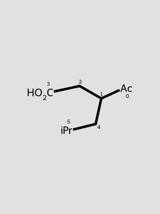 CC(=O)C(CC(=O)O)CC(C)C